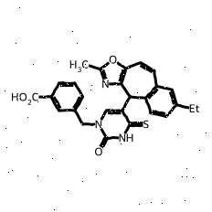 CCc1ccc2c(c1)C=Cc1oc(C)nc1C2c1cn(Cc2cccc(C(=O)O)c2)c(=O)[nH]c1=S